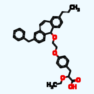 CCCc1ccc2c(c1)C=Cc1cc(Cc3ccccc3)ccc1C2OCCOc1ccc(CC(OCC)C(=O)O)cc1